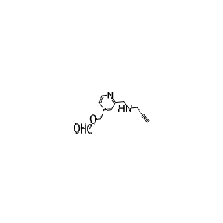 C#CCNCc1cc(COC=O)ccn1